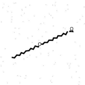 C1CO1.CCCCCCCCCCCCOCCCCCCCCCCCC